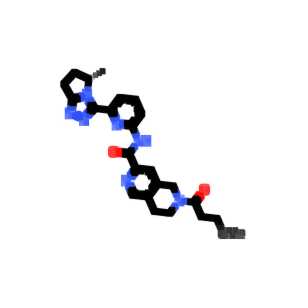 COCCC(=O)N1CCc2cnc(C(=O)Nc3cccc(-c4nnc5n4[C@@H](C)CC5)n3)cc2C1